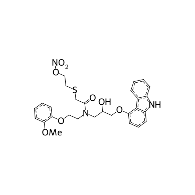 COc1ccccc1OCCN(CC(O)COc1cccc2[nH]c3ccccc3c12)C(=O)CSCCO[N+](=O)[O-]